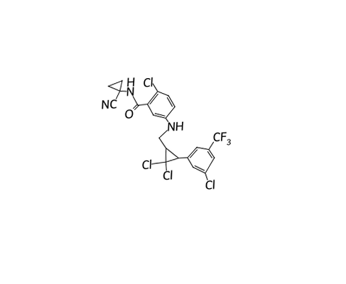 N#CC1(NC(=O)c2cc(NCC3C(c4cc(Cl)cc(C(F)(F)F)c4)C3(Cl)Cl)ccc2Cl)CC1